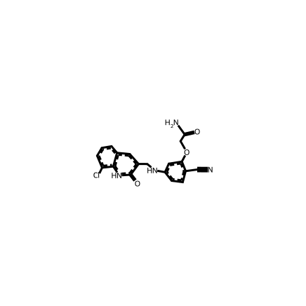 N#Cc1ccc(NCc2cc3cccc(Cl)c3[nH]c2=O)cc1OCC(N)=O